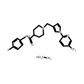 CC(=O)O.O=C(Nc1ccc(F)cc1)C1CCN(Cc2ccn(-c3ccc(C(F)(F)F)cn3)c2)CC1